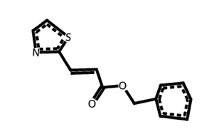 O=C(C=Cc1nccs1)OCc1ccccc1